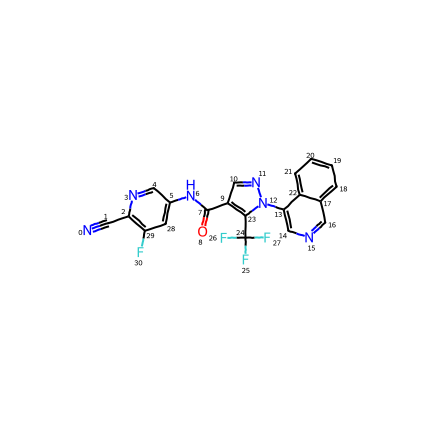 N#Cc1ncc(NC(=O)c2cnn(-c3cncc4ccccc34)c2C(F)(F)F)cc1F